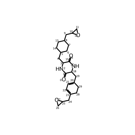 O=C1NC(CC2CCC(CC3CO3)CC2)C(=O)NC1CC1=CC=C(CC2CO2)CC1